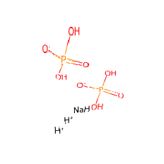 O=P([O-])(O)O.O=P([O-])(O)O.[H+].[H+].[NaH]